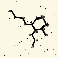 CCCCC1C=NN=C(C)C1CCC